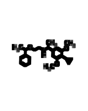 COc1cc(C(C)NCCOC(C)c2ccccc2)cc(OC)c1C1CC1